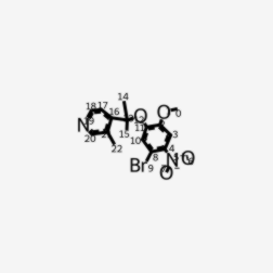 COc1cc([N+](=O)[O-])c(Br)cc1OC(C)(C)c1ccncc1C